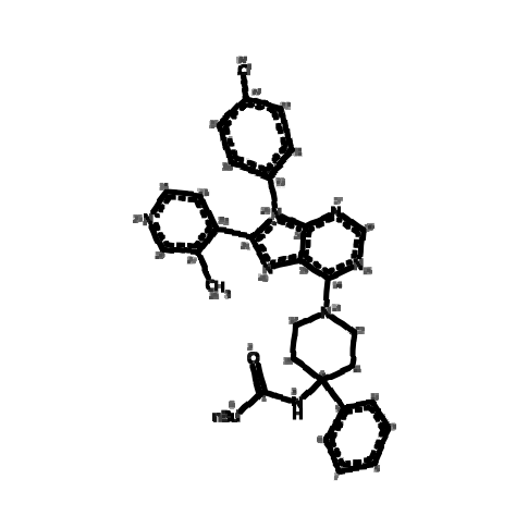 CCCCC(=O)NC1(c2ccccc2)CCN(c2ncnc3c2nc(-c2ccncc2C)n3-c2ccc(Cl)cc2)CC1